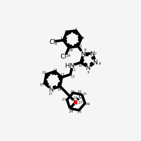 Clc1cccc(-n2nnnc2NCc2cccnc2N2CC3CCC(CC3)C2)c1Cl